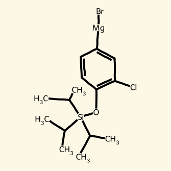 CC(C)[Si](Oc1cc[c]([Mg][Br])cc1Cl)(C(C)C)C(C)C